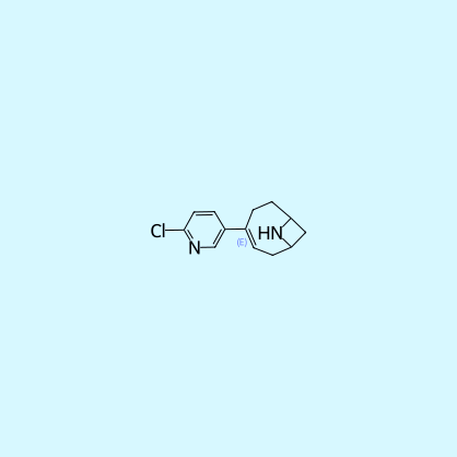 Clc1ccc(/C2=C/CC3CC(CC2)N3)cn1